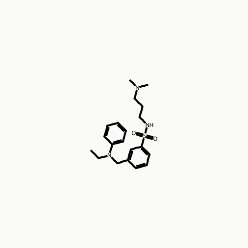 CCN(Cc1cccc(S(=O)(=O)NCCCN(C)C)c1)c1ccccc1